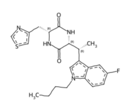 CCCCn1cc([C@@H](C)[C@H]2NC(=O)[C@@H](Cc3cscn3)NC2=O)c2cc(F)ccc21